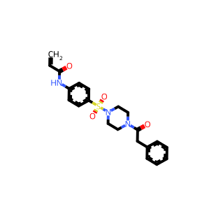 C=CC(=O)Nc1ccc(S(=O)(=O)N2CCN(C(=O)Cc3ccccc3)CC2)cc1